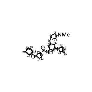 CN[C@H]1CCN(Cc2cc(NC(=O)N3CCC(Oc4ccccc4)C3)cc(-n3cnc(C)c3)c2)C1